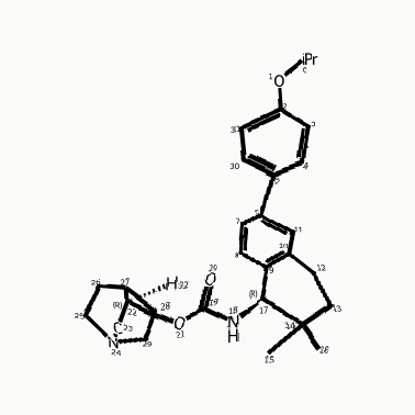 CC(C)Oc1ccc(-c2ccc3c(c2)CCC(C)(C)[C@H]3NC(=O)O[C@H]2CN3CCC2CC3)cc1